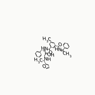 Cc1cc(C(=O)N[C@@H](C)c2ccccc2)cc(C(=O)N[C@@H](Cc2ccccc2)[C@H](O)CNC(C)c2ccco2)c1